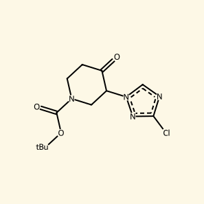 CC(C)(C)OC(=O)N1CCC(=O)C(n2cnc(Cl)n2)C1